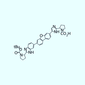 CC(C)(C)OC(=O)N1CCCC1c1nc2ccc(-c3ccc4c(c3)oc3cc(-c5cnc(C6CCCN6C(=O)O)[nH]5)ccc34)cc2[nH]1